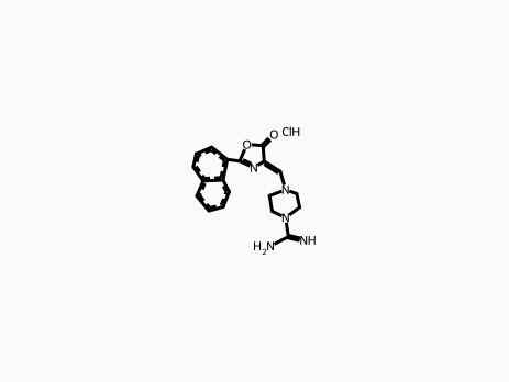 Cl.N=C(N)N1CCN(C=C2N=C(c3cccc4ccccc34)OC2=O)CC1